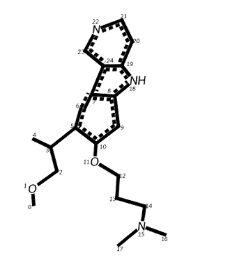 COCC(C)c1cc2c(cc1OCCCN(C)C)[nH]c1ccncc12